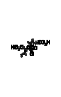 C=CC(O[PH](=O)OC(C=C)C(=O)O)C(=O)O